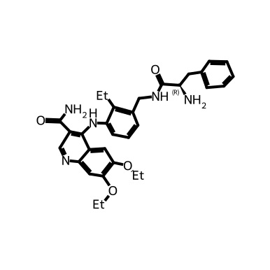 CCOc1cc2ncc(C(N)=O)c(Nc3cccc(CNC(=O)[C@H](N)Cc4ccccc4)c3CC)c2cc1OCC